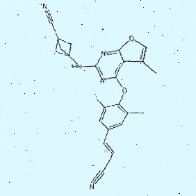 Cc1cc(/C=C/C#N)cc(C)c1Oc1nc(NC23CC(C#N)(C2)C3)nc2occ(C)c12